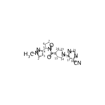 Cn1ccc(C2CCON2C(=O)C2CCN(c3cc(C#N)ncn3)CC2)n1